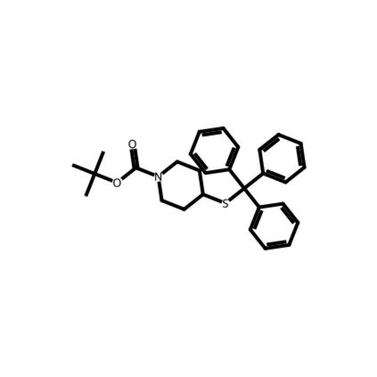 CC(C)(C)OC(=O)N1CCC(SC(c2ccccc2)(c2ccccc2)c2ccccc2)CC1